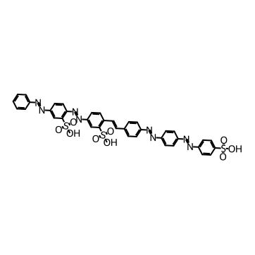 O=S(=O)(O)c1ccc(N=Nc2ccc(N=Nc3ccc(C=Cc4ccc(N=Nc5ccc(N=Nc6ccccc6)cc5S(=O)(=O)O)cc4S(=O)(=O)O)cc3)cc2)cc1